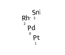 [Pd].[Pt].[Rh].[Sn]